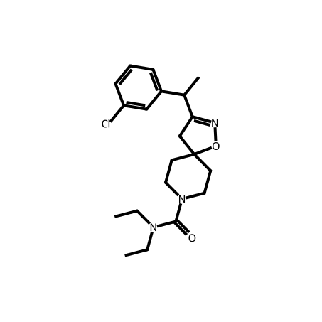 CCN(CC)C(=O)N1CCC2(CC1)CC(C(C)c1cccc(Cl)c1)=NO2